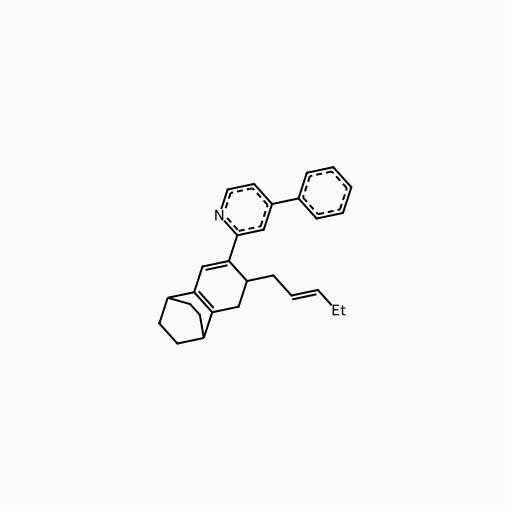 CCC=CCC1CC2=C(C=C1c1cc(-c3ccccc3)ccn1)C1CCC2CC1